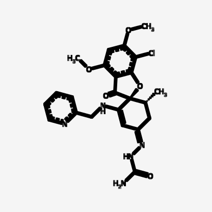 COc1cc(OC)c2c(c1Cl)O[C@]1(C2=O)C(NCc2ccccn2)=C/C(=N\NC(N)=O)C[C@H]1C